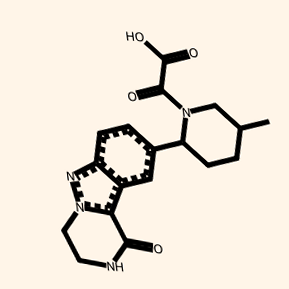 CC1CCC(c2ccc3nn4c(c3c2)C(=O)NCC4)N(C(=O)C(=O)O)C1